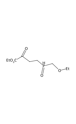 CCOC[PH](=O)CCC(=O)C(=O)OCC